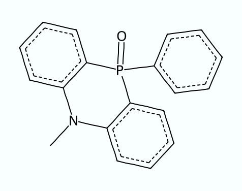 CN1c2ccccc2P(=O)(c2ccccc2)c2ccccc21